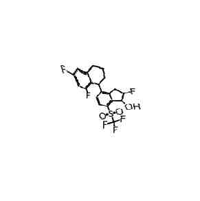 O=S(=O)(c1ccc(C2CCCc3cc(F)cc(F)c32)c2c1[C@H](O)[C@H](F)C2)C(F)(F)F